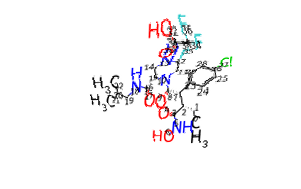 CC[C@H](C(=O)NO)[C@H](C(=O)N1CCNC[C@H]1C(=O)NCC(C)C)c1ccc(Cl)cc1.O=C(O)C(F)(F)F